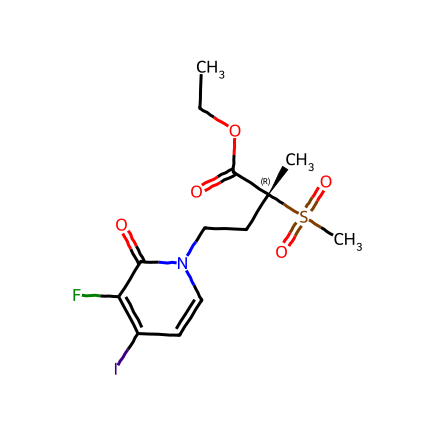 CCOC(=O)[C@@](C)(CCn1ccc(I)c(F)c1=O)S(C)(=O)=O